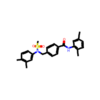 Cc1ccc(C)c(NC(=O)c2ccc(CN(c3ccc(C)c(C)c3)S(C)(=O)=O)cc2)c1